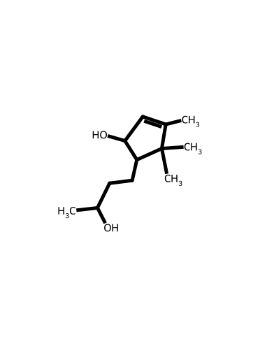 CC1=CC(O)C(CCC(C)O)C1(C)C